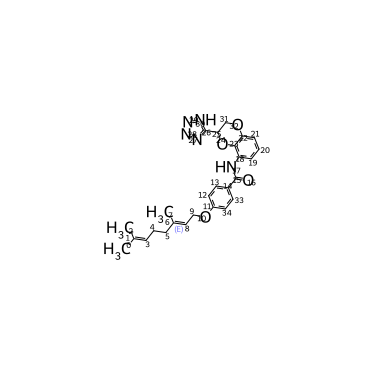 CC(C)=CCC/C(C)=C/COc1ccc(C(=O)Nc2cccc3c2OC(c2nnn[nH]2)CO3)cc1